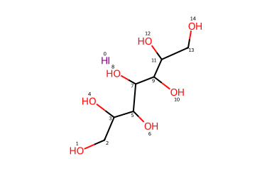 I.OCC(O)C(O)C(O)C(O)C(O)CO